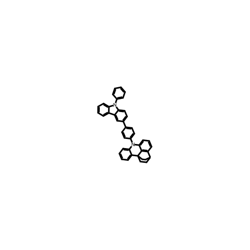 c1ccc(-n2c3ccccc3c3cc(-c4ccc(N5c6ccccc6C67CCC(CC6)c6cccc5c67)cc4)ccc32)cc1